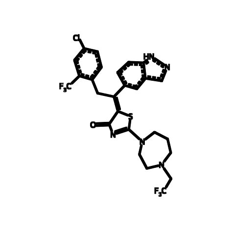 O=C1N=C(N2CCCN(CC(F)(F)F)CC2)SC1=C(Cc1ccc(Cl)cc1C(F)(F)F)c1ccc2[nH]ncc2c1